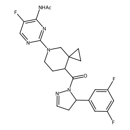 CC(=O)Nc1nc(N2CCC(C(=O)N3N=CCC3c3cc(F)cc(F)c3)C3(CC3)C2)ncc1F